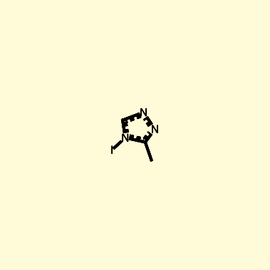 Cc1nncn1I